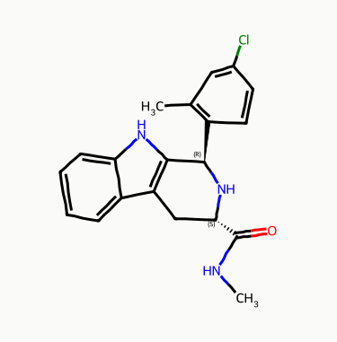 CNC(=O)[C@@H]1Cc2c([nH]c3ccccc23)[C@@H](c2ccc(Cl)cc2C)N1